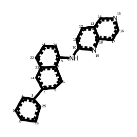 c1ccc(-c2ccc3c(Nc4ccc5cnccc5n4)cccc3c2)cc1